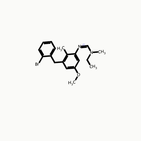 CCN(C)/C=N\c1cc(OC)cc(Cc2ccccc2Br)c1C